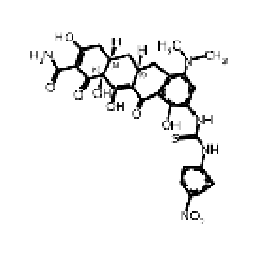 CN(C)c1cc(NC(=S)Nc2ccc([N+](=O)[O-])cc2)c(O)c2c1C[C@H]1C[C@H]3CC(O)=C(C(N)=O)C(=O)[C@@]3(O)C(O)=C1C2=O